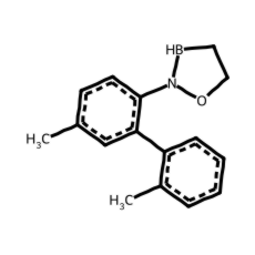 Cc1ccc(N2BCCO2)c(-c2ccccc2C)c1